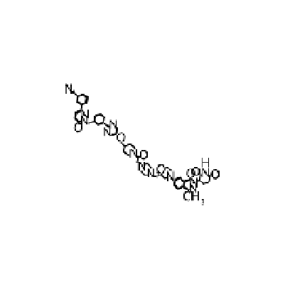 Cc1nn(C2CCC(=O)NC2=O)c(=O)c2cc(N3CCO[C@H](CN4CCN(CC(=O)N5CCC(COc6cnc(-c7cccc(Cn8nc(-c9cccc(C#N)c9)ccc8=O)c7)nc6)CC5)CC4)C3)ccc12